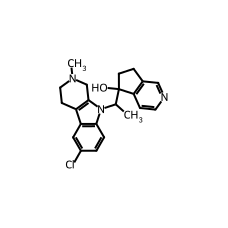 CC(n1c2c(c3cc(Cl)ccc31)CCN(C)C2)C1(O)CCc2cnccc21